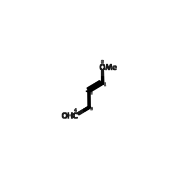 COC=[C]CC=O